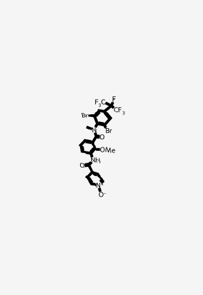 COc1c(NC(=O)c2cc[n+]([O-])cc2)cccc1C(=O)N(C)c1c(Br)cc(C(F)(C(F)(F)F)C(F)(F)F)cc1Br